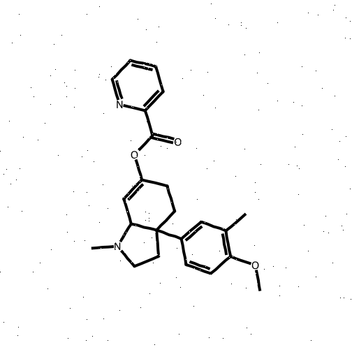 COc1ccc(C23CCC(OC(=O)c4ccccn4)=CC2N(C)CC3)cc1C